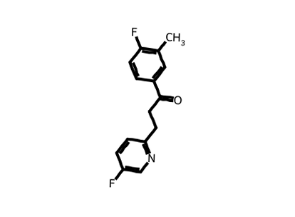 Cc1cc(C(=O)CCc2ccc(F)cn2)ccc1F